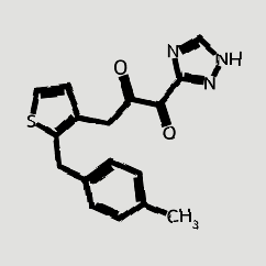 Cc1ccc(Cc2sccc2CC(=O)C(=O)c2nc[nH]n2)cc1